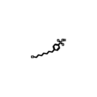 O=S(=O)(O)c1ccc(CCCCCCCCl)cc1